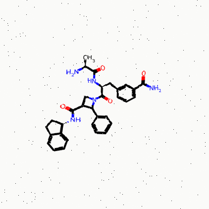 C[C@H](N)C(=O)N[C@@H](Cc1cccc(C(N)=O)c1)C(=O)N1CC(C(=O)N[C@H]2CCc3ccccc32)C1c1ccccc1